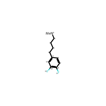 CNCCCCc1ccc(F)c(F)c1